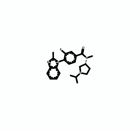 Cc1nc2ccccc2n1-c1ccc(C(=O)N(C)[C@@H]2CCN(C(C)C)C2)cc1F